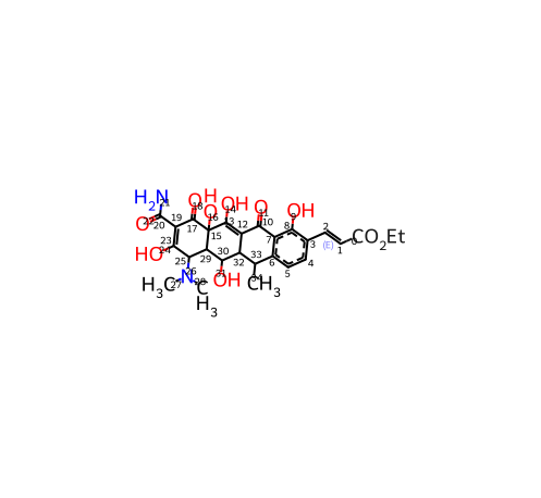 CCOC(=O)/C=C/c1ccc2c(c1O)C(=O)C1=C(O)C3(O)C(=O)C(C(N)=O)=C(O)C(N(C)C)C3C(O)C1C2C